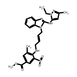 CCn1nc(C)cc1Nc1nc2ccccc2n1C/C=C/CNc1c(C)cc(C(=O)OC)cc1[N+](=O)[O-]